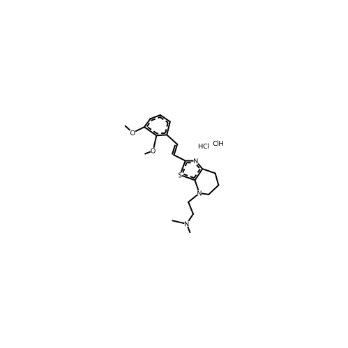 COc1cccc(/C=C/c2nc3c(s2)N(CCN(C)C)CCC3)c1OC.Cl.Cl